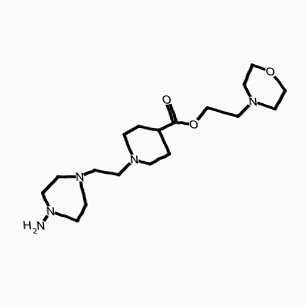 NN1CCN(CCN2CCC(C(=O)OCCN3CCOCC3)CC2)CC1